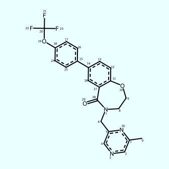 Cc1cncc(CN2CCOc3ccc(-c4ccc(OC(F)(F)F)cc4)cc3C2=O)n1